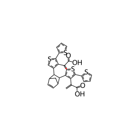 C=C(C(=O)O)c1c(C2C3C=CC(C3)C2c2csc(-c3cccs3)c2C(=C)C(=O)O)csc1-c1cccs1